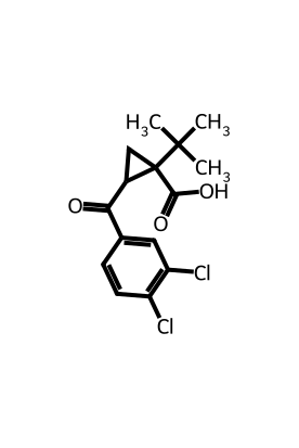 CC(C)(C)C1(C(=O)O)CC1C(=O)c1ccc(Cl)c(Cl)c1